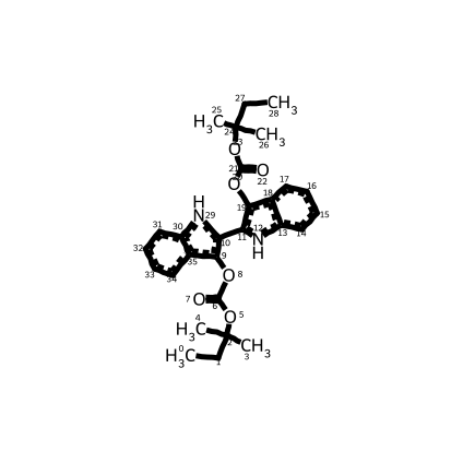 CCC(C)(C)OC(=O)Oc1c(-c2[nH]c3ccccc3c2OC(=O)OC(C)(C)CC)[nH]c2ccccc12